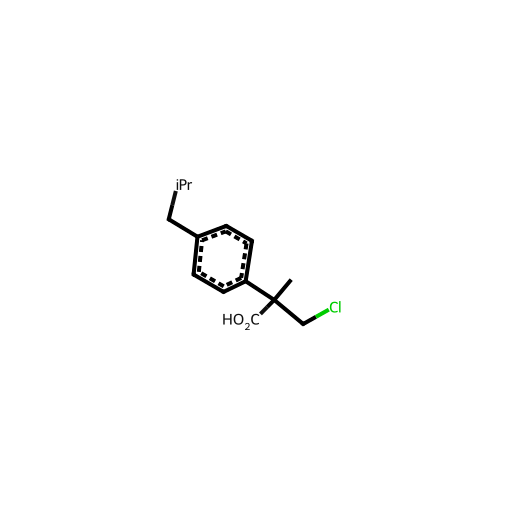 CC(C)Cc1ccc(C(C)(CCl)C(=O)O)cc1